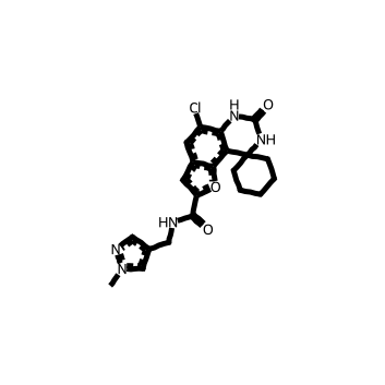 Cn1cc(CNC(=O)c2cc3cc(Cl)c4c(c3o2)C2(CCCCC2)NC(=O)N4)cn1